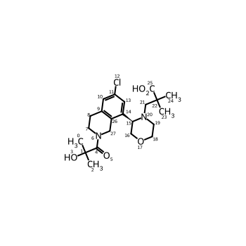 CC(C)(O)C(=O)N1CCc2cc(Cl)cc([C@@H]3COCCN3CC(C)(C)C(=O)O)c2C1